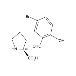 O=C(O)[C@@H]1CCCN1.O=Cc1cc(Br)ccc1O